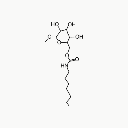 CCCCCCCNC(=O)OCC1O[C@H](OC)C(O)[C@@H](O)[C@@H]1O